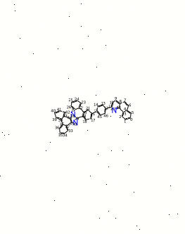 c1ccc2c(c1)ccc1ccc(-c3ccc(-c4ccc5c(c4)c4ccccc4n4c5nc5c6ccccc6c6ccccc6c54)cc3)nc12